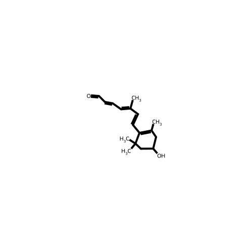 CC(C=CC1=C(C)CC(O)CC1(C)C)=CC=CC=O